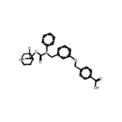 O=C(O)c1ccc(COc2cccc(CN(C(=O)O[C@H]3CN4CCC3CC4)c3ccccc3)c2)cc1